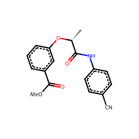 COC(=O)c1cccc(O[C@H](C)C(=O)Nc2ccc(C#N)cc2)c1